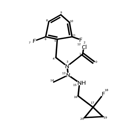 C=C(Cl)N(Cc1c(F)cccc1F)N(C)NCC1(F)CC1